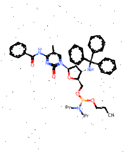 Cc1cn([C@H]2C[C@H](NC(c3ccccc3)(c3ccccc3)c3ccccc3)[C@@H](COP(OCCC#N)N(C(C)C)C(C)C)O2)c(=O)nc1NC(=O)c1ccccc1